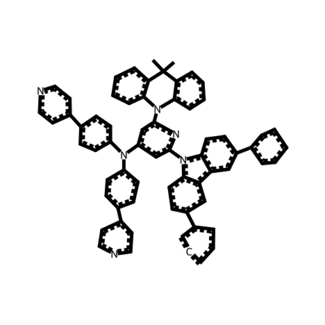 CC1(C)c2ccccc2N(c2cc(N(c3ccc(-c4ccncc4)cc3)c3ccc(-c4ccncc4)cc3)cc(-n3c4ccc(-c5ccccc5)cc4c4cc(-c5ccccc5)ccc43)n2)c2ccccc21